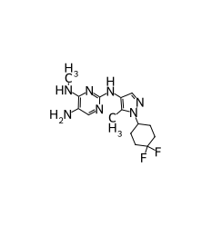 CNc1nc(Nc2cnn(C3CCC(F)(F)CC3)c2C)ncc1N